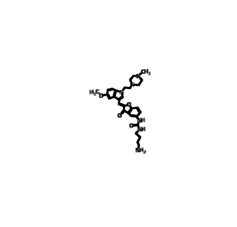 COc1ccc2c(c1)c(/C=C1\Oc3ccc(NC(=O)NCCCCN)cc3C1=O)cn2CCN1CCN(C)CC1